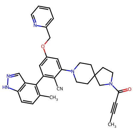 CC#CC(=O)N1CCC2(CCN(c3cc(OCc4ccccn4)cc(-c4c(C)ccc5[nH]ncc45)c3C#N)CC2)C1